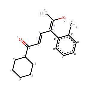 C/C(Br)=C(\C=C\C(=O)C1CCCCC1)c1ccccc1C